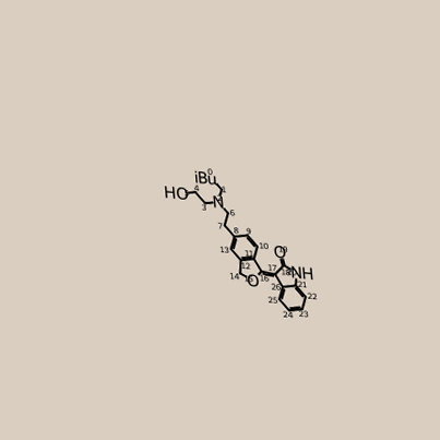 CCC(C)CN(CCO)CCc1ccc2c(c1)COC2=C1C(=O)Nc2ccccc21